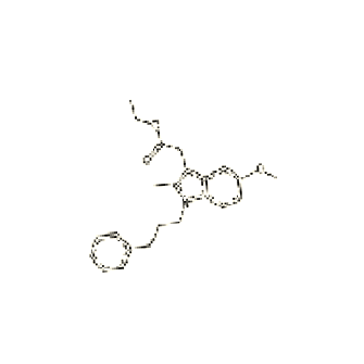 CCOC(=O)Cc1c(C)n(CCCc2ccccc2)c2ccc(OC)cc12